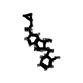 CC(C)N1c2nc(NCC3CC3)ncc2NC1Nc1ccccc1F